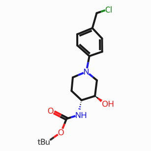 CC(C)(C)OC(=O)N[C@@H]1CCN(c2ccc(CCl)cc2)C[C@H]1O